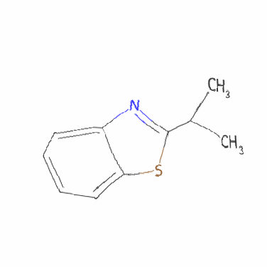 CC(C)c1nc2ccccc2s1